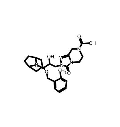 Cc1ccccc1COC1CC2CCC(C1)N2CC(O)Cn1nc2n(c1=O)CCN(C(=O)O)C2